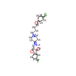 CN(C=C1Oc2ccc(F)cc2C1=O)C1CCN(CCCCOc2ccc(F)cc2)CC1